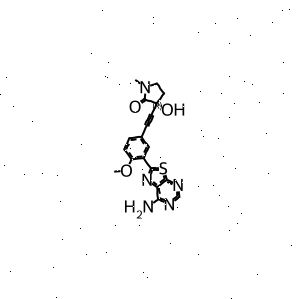 COc1ccc(C#C[C@]2(O)CCN(C)C2=O)cc1-c1nc2c(N)ncnc2s1